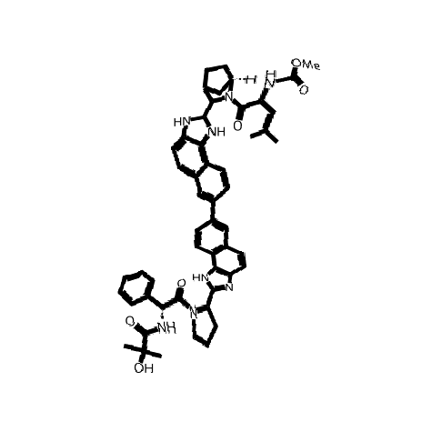 COC(=O)NC(C=C(C)C)C(=O)N1C(C2Nc3ccc4cc(-c5ccc6c(ccc7nc(C8CCCN8C(=O)[C@H](NC(=O)C(C)(C)O)c8ccccc8)[nH]c76)c5)ccc4c3N2)C2CC[C@@H]1C2